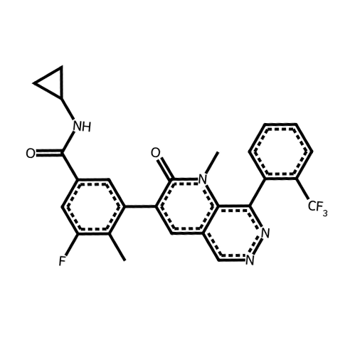 Cc1c(F)cc(C(=O)NC2CC2)cc1-c1cc2cnnc(-c3ccccc3C(F)(F)F)c2n(C)c1=O